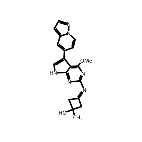 COc1nc(N=C2CC(C)(O)C2)nc2[nH]cc(-c3ccn4nccc4c3)c12